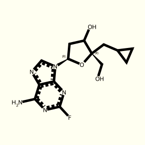 Nc1nc(F)nc2c1ncn2[C@H]1CC(O)[C@](CO)(CC2CC2)O1